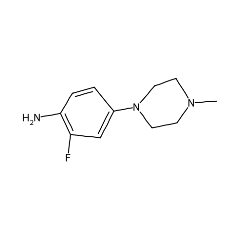 CN1CCN(c2ccc(N)c(F)c2)CC1